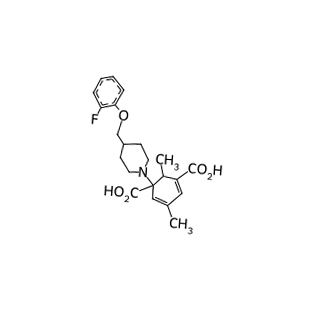 CC1=CC(C(=O)O)(N2CCC(COc3ccccc3F)CC2)C(C)C(C(=O)O)=C1